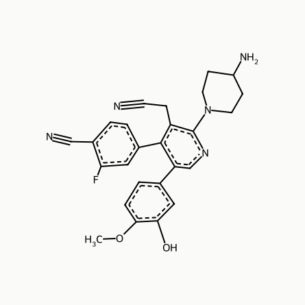 COc1ccc(-c2cnc(N3CCC(N)CC3)c(CC#N)c2-c2ccc(C#N)c(F)c2)cc1O